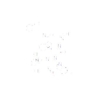 CN1CCN(C(Cn2cc(C(=O)N3CCC(c4ccccc4C(F)(F)F)CC3)c3ccc(Cl)cc32)C(=O)C(Cn2cc(C(=O)N3CCC(c4ccccc4C(F)(F)F)CC3)c3ccc(Cl)cc32)N2CCN(C)CC2)CC1